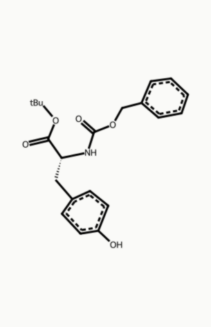 CC(C)(C)OC(=O)[C@@H](Cc1ccc(O)cc1)NC(=O)OCc1ccccc1